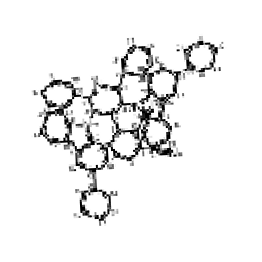 N#Cc1cccc(-c2c(-n3c4ccccc4c4cc(-c5ccccc5)ccc43)c(-c3ccccc3)nc(-c3ccccc3)c2-n2c3ccccc3c3cc(-c4ccccc4)ccc32)c1C#N